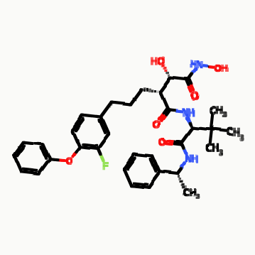 C[C@@H](NC(=O)[C@@H](NC(=O)[C@H](CCCc1ccc(Oc2ccccc2)c(F)c1)[C@H](O)C(=O)NO)C(C)(C)C)c1ccccc1